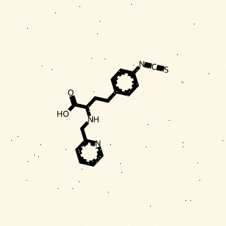 O=C(O)C(CCc1ccc(N=C=S)cc1)NCc1ccccn1